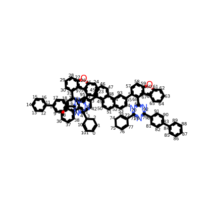 C1=CCC(c2nc(-c3ccc(-c4ccccc4)cc3)nc(-c3cccc4oc5cccc(-c6cc7ccccc7c7ccc(-c8cccc9c8ccc8ccc(-c%10ccc%11oc%12ccccc%12c%11c%10-c%10nc(C%11=CCCC=C%11)nc(-c%11ccc(-c%12ccccc%12)cc%11)n%10)cc89)cc67)c5c34)n2)C=C1